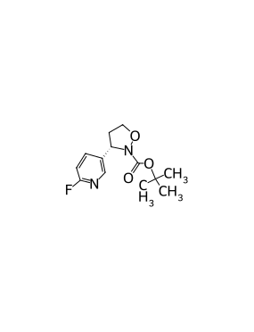 CC(C)(C)OC(=O)N1OCC[C@H]1c1ccc(F)nc1